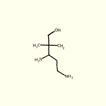 CC(C)(CO)C(N)CCN